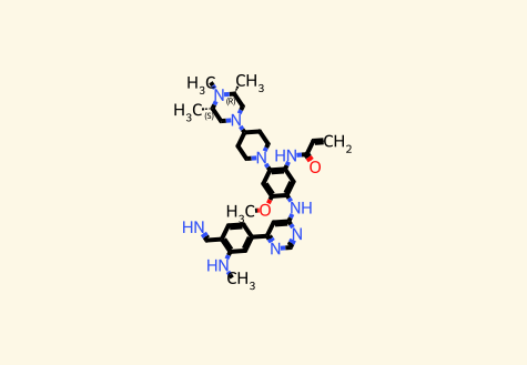 C=CC(=O)Nc1cc(Nc2cc(-c3ccc(C=N)c(NC)c3)ncn2)c(OC)cc1N1CCC(N2C[C@@H](C)N(C)[C@@H](C)C2)CC1